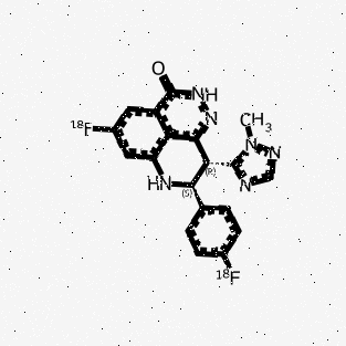 Cn1ncnc1[C@H]1c2n[nH]c(=O)c3cc([18F])cc(c23)N[C@@H]1c1ccc([18F])cc1